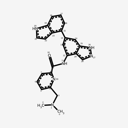 CN(C)Cc1cccc(C(=O)Nc2cc(-c3cccc4[nH]ccc34)cc3[nH]ncc23)n1